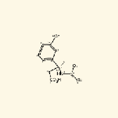 CC(C)(C)[S+]([O-])N[C@@](C)(CC(=O)O)c1cccc(Br)c1